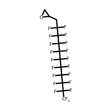 FC(F)(F)C(F)(F)C(F)(F)C(F)(F)C(F)(F)C(F)(F)C(F)(F)C(F)(F)C(F)(F)C(F)(F)CC1CO1